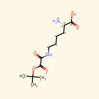 CC(C)(C)OC(=O)C(=O)NCCCC[C@H](N)C(=O)O